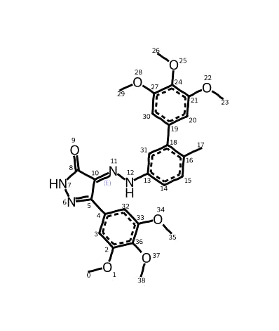 COc1cc(C2=NNC(=O)/C2=N/Nc2ccc(C)c(-c3cc(OC)c(OC)c(OC)c3)c2)cc(OC)c1OC